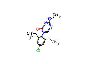 CCNc1ncn(-c2c(CC)cc(Cl)cc2CC)c(=O)n1